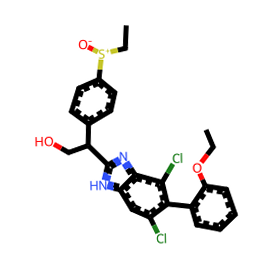 CCOc1ccccc1-c1c(Cl)cc2[nH]c(C(CO)c3ccc([S+]([O-])CC)cc3)nc2c1Cl